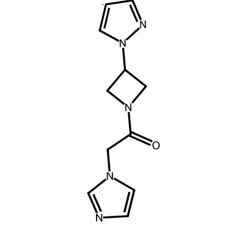 O=C(Cn1ccnc1)N1CC(n2c[c]cn2)C1